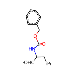 CC(C)CC([C]=O)NC(=O)OCc1ccccc1